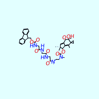 [CH2][C@]1(C)C=C2C(=O)[C@](C)(O)C3(CC3)C(C)=C2[C@H]1OC(=O)N(C)CCN(C)C(=O)CNC(=O)CNC(=O)CNC(=O)OCC1c2ccccc2-c2ccccc21